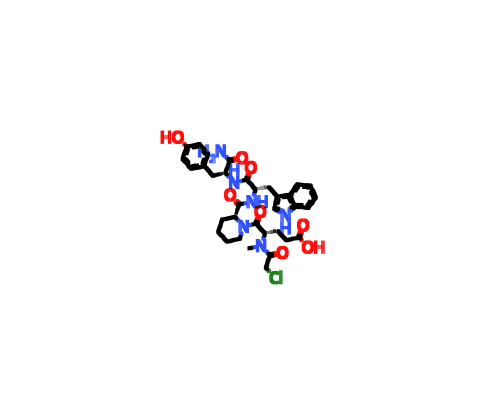 CN(C(=O)CCl)[C@@H](CCC(=O)O)C(=O)N1CCCC[C@H]1C(=O)N[C@@H](Cc1c[nH]c2ccccc12)C(=O)N[C@@H](Cc1ccc(O)cc1)C(N)=O